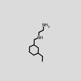 CCC1CCCC(CNCCN)C1